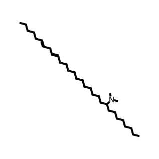 CCCCCC=CCC=CCCCCCCCCCCCC(CCCCCCCC)N(C)C